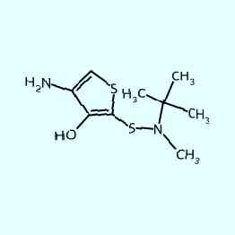 CN(Sc1scc(N)c1O)C(C)(C)C